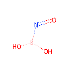 O=NB(O)O